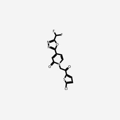 O=C(Cn1ccc(-c2nnc(C(F)F)o2)cc1=O)c1ccc(Cl)s1